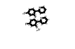 Fc1ccc(-c2ccccn2)c(F)c1.Fc1ccc(-c2ccccn2)c(F)c1.[Ir]